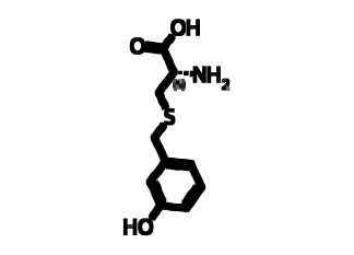 N[C@H](CSCc1cccc(O)c1)C(=O)O